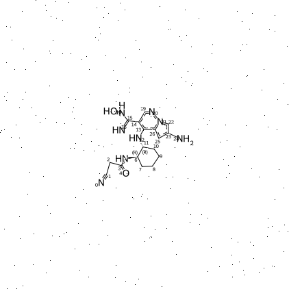 N#CCC(=O)N[C@@H]1CCCC[C@H]1Nc1c(C(=N)NO)cnn2cc(N)cc12